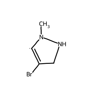 CN1[C]=C(Br)CN1